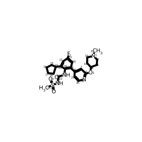 CN1CCC(Oc2cc(-c3cc(F)cc(C4CCCC4)c3NC(=O)NS(C)(=O)=O)ccn2)CC1